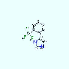 FC(F)(F)c1ccccc1C1=CN=C[N]1